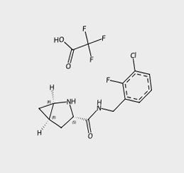 O=C(NCc1cccc(Cl)c1F)[C@@H]1C[C@H]2C[C@H]2N1.O=C(O)C(F)(F)F